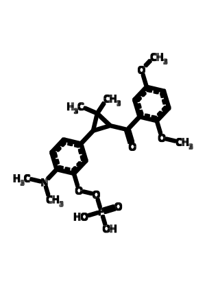 COc1ccc(OC)c(C(=O)C2C(c3ccc(N(C)C)c(OOP(=O)(O)O)c3)C2(C)C)c1